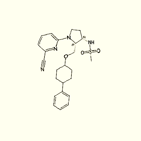 CS(=O)(=O)N[C@H]1CCN(c2cccc(C#N)n2)[C@H]1COC1CCC(c2ccccc2)CC1